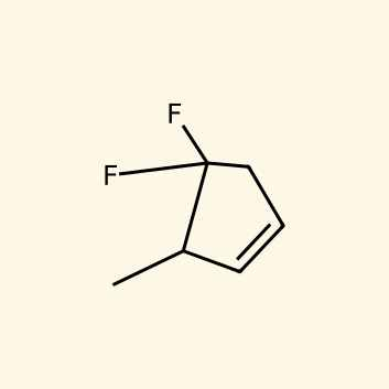 CC1C=CCC1(F)F